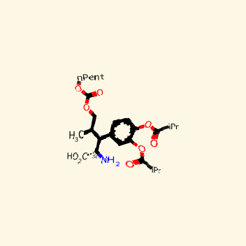 CCCCCOC(=O)OCC(C)C(c1ccc(OC(=O)C(C)C)c(OC(=O)C(C)C)c1)[C@H](N)C(=O)O